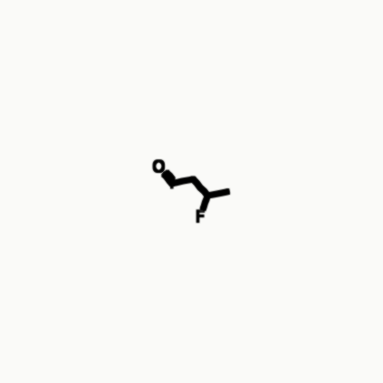 CC(F)C[C]=O